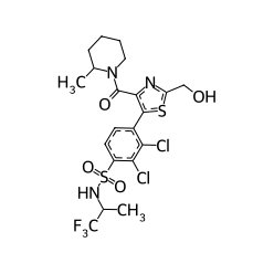 CC1CCCCN1C(=O)c1nc(CO)sc1-c1ccc(S(=O)(=O)NC(C)C(F)(F)F)c(Cl)c1Cl